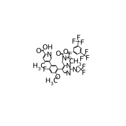 COc1cc(F)c(-c2cnc(C(=O)O)cc2C)cc1-c1cnc(N2CC(F)(F)C2)nc1CN1C(=O)O[C@H](c2cc(C(F)(F)F)cc(C(F)(F)F)c2)[C@@H]1C